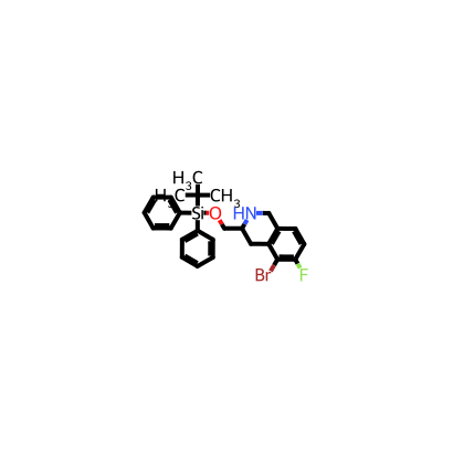 CC(C)(C)[Si](OCC1Cc2c(ccc(F)c2Br)CN1)(c1ccccc1)c1ccccc1